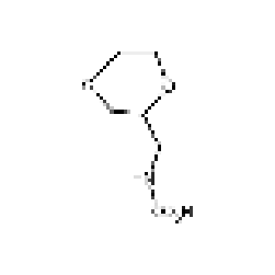 O=C(O)NCC1COCCO1